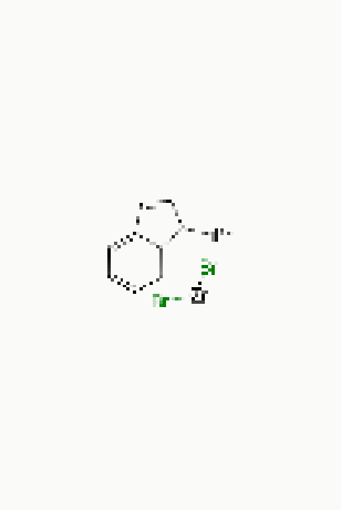 CC(C)[C]1C=Cc2ccccc21.[Br][Zr][Br]